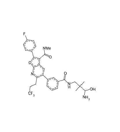 CNC(=O)c1c(-c2ccc(F)cc2)oc2nc(CCC(F)(F)F)c(-c3cccc(C(=O)NCC(C)(C)C(N)O)c3)cc12